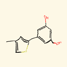 Cc1csc(-c2cc(O)cc(O)c2)c1